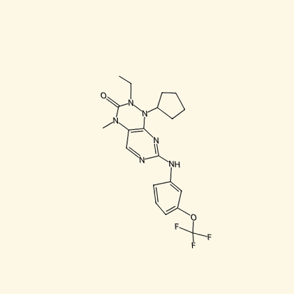 CCN1C(=O)N(C)c2cnc(Nc3cccc(OC(F)(F)F)c3)nc2N1C1CCCC1